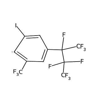 FC(F)(F)c1[c]c(I)cc(C(F)(C(F)(F)F)C(F)(F)C(F)(F)F)c1